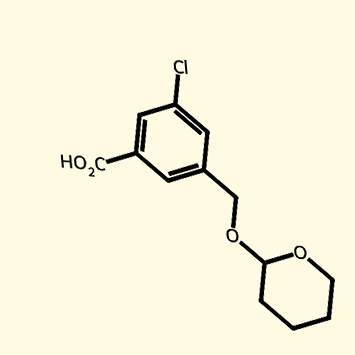 O=C(O)c1cc(Cl)cc(COC2CCCCO2)c1